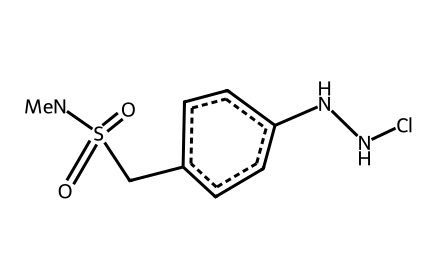 CNS(=O)(=O)Cc1ccc(NNCl)cc1